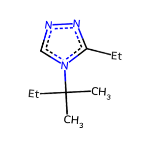 CCc1nncn1C(C)(C)CC